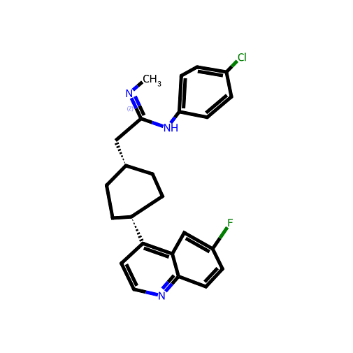 C/N=C(/C[C@H]1CC[C@@H](c2ccnc3ccc(F)cc32)CC1)Nc1ccc(Cl)cc1